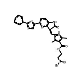 CCN(CC)CCNC(=O)c1c(C)[nH]c(/C=C2\C(=O)Nc3ccc(-c4csc(-c5ccccc5)n4)nc32)c1C